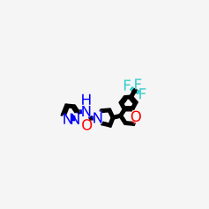 O=C(Nc1cccnn1)N1CCC(C2CCOc3cc(C(F)(F)F)ccc32)CC1